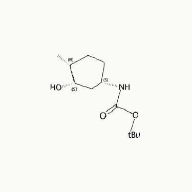 C[C@@H]1CC[C@H](NC(=O)OC(C)(C)C)C[C@@H]1O